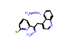 NN.NN=C(Cc1ccnc2ccccc12)c1cccc(Br)n1